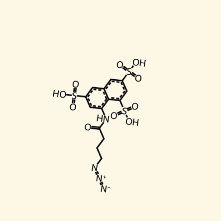 [N-]=[N+]=NCCCC(=O)Nc1cc(S(=O)(=O)O)cc2cc(S(=O)(=O)O)cc(S(=O)(=O)O)c12